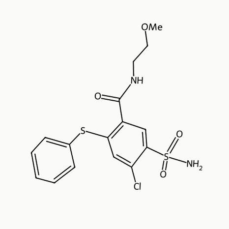 COCCNC(=O)c1cc(S(N)(=O)=O)c(Cl)cc1Sc1ccccc1